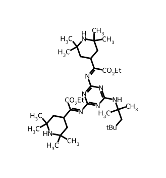 CCOC(=O)/C(=N\c1nc(/N=C(\C(=O)OCC)C2CC(C)(C)NC(C)(C)C2)nc(NC(C)(C)CC(C)(C)C)n1)C1CC(C)(C)NC(C)(C)C1